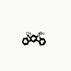 Cn1c2c(c3cc4c5ccccc5n(C(C)(C)C)c4cc31)C=CCC2